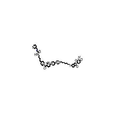 O=C(/C=C/c1cccnc1)NCCCCC1CCN(C(=O)c2ccc(N3CCC(N4CCN(CCCCCCCSc5ccc6c(c5)CN(C5CCC(=O)NC5=O)C6=O)CC4)CC3)nn2)CC1